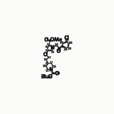 COC(=O)c1cc(OCCC2CCN(C(=O)OCC(C)C)CC2)cn1CC(=O)c1cccc(Cl)c1